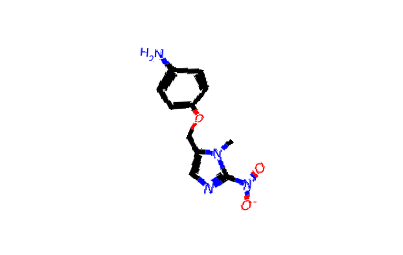 Cn1c(COc2ccc(N)cc2)cnc1[N+](=O)[O-]